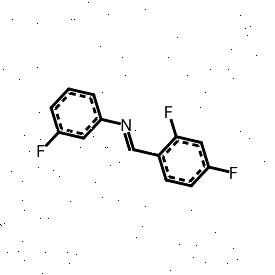 Fc1cccc(N=Cc2ccc(F)cc2F)c1